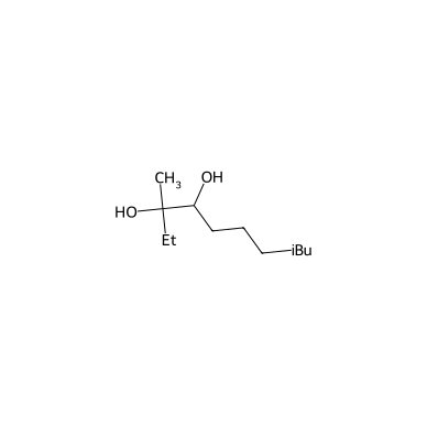 CCC(C)CCCC(O)C(C)(O)CC